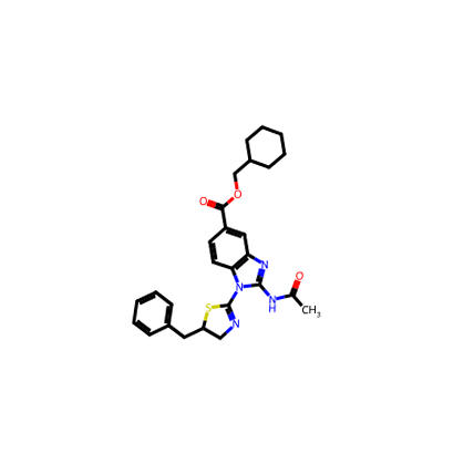 CC(=O)Nc1nc2cc(C(=O)OCC3CCCCC3)ccc2n1C1=NCC(Cc2ccccc2)S1